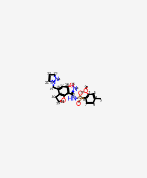 COc1cc(C)ccc1S(=O)(=O)Nc1noc2cc(Cn3cccn3)c3c(c12)OCC3